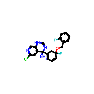 NC1(C2=CC=CC(F)(OCc3ccccc3F)C2)N=CNc2cnc(Cl)cc21